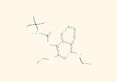 CCOc1cc(OCC)c2ccccc2c1OC(=O)NC(C)(C)C